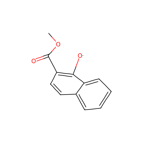 COC(=O)c1ccc2ccccc2c1[O]